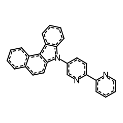 c1ccc(-c2ccc(-n3c4ccccc4c4c5ccccc5ccc43)cn2)nc1